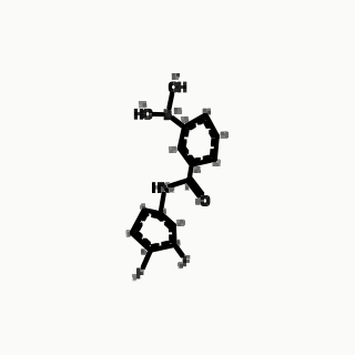 O=C(Nc1ccc(F)c(F)c1)c1cccc(B(O)O)c1